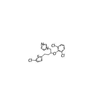 Clc1ccc(CCC(Cn2ccnc2)Oc2c(Cl)cccc2Cl)s1